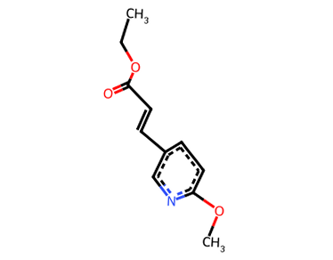 CCOC(=O)C=Cc1ccc(OC)nc1